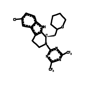 FC(F)(F)c1nc(N2CCc3c([nH]c4ccc(Cl)cc34)[C@@H]2CC2CCCCO2)nc(C(F)(F)F)n1